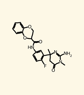 CN1C(=O)CC(C)(c2cc(NC(=O)C3COc4ccccc4O3)ccc2F)N=C1N